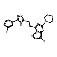 Fc1cccc(-c2nnc(CNc3nc(N4CCOCC4)nc4c(Br)cnn34)[nH]2)c1